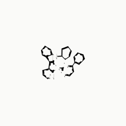 C1=CCC(n2c3ccccc3c3c4cccnc4n(-c4nccc(-c5ccccc5)n4)c32)C=C1